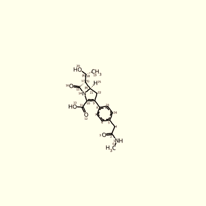 CNC(=O)Cc1ccc(C2=C(C(=O)O)N3C(=O)[C@H]([C@@H](C)O)[C@H]3C2)cc1